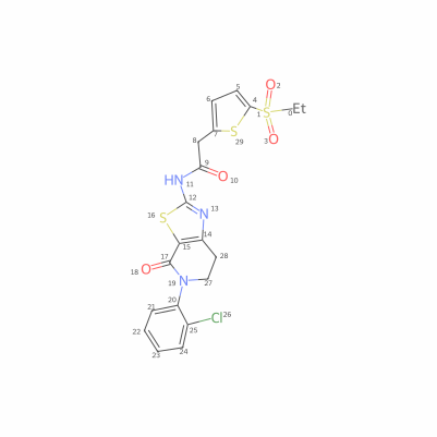 CCS(=O)(=O)c1ccc(CC(=O)Nc2nc3c(s2)C(=O)N(c2ccccc2Cl)CC3)s1